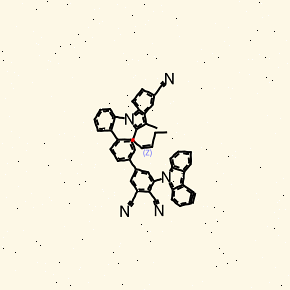 CC/C=C\Cc1c(C)c2cc(C#N)ccc2n1-c1ccccc1-c1ccc(-c2cc(C#N)c(C#N)c(-n3c4ccc#cc4c4ccccc43)c2)cc1